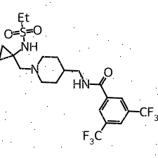 CCS(=O)(=O)NC1(CN2CCC(CNC(=O)c3cc(C(F)(F)F)cc(C(F)(F)F)c3)CC2)CC1